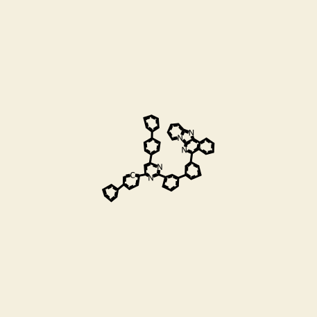 c1ccc(-c2ccc(-c3cc(-c4ccc(-c5ccccc5)cc4)nc(-c4cccc(-c5cccc(-c6nc7c(nc8ccccn87)c7ccccc67)c5)c4)n3)cc2)cc1